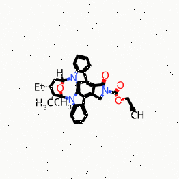 C#CCOC(=O)N1Cc2c(c3c4ccccc4n4c3c3c2c2ccccc2n3[C@@]2(C)O[C@@H]4C[C@@H](CC)[C@H]2C)C1=O